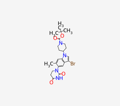 Cc1cc2c(cc1N1CCC(=O)NC1=O)c(Br)cn2C1CCN(C(=O)OC(C)(C)C)CC1